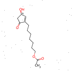 CC(=O)OCCCCCCCC1=C[C@H](O)CC1=O